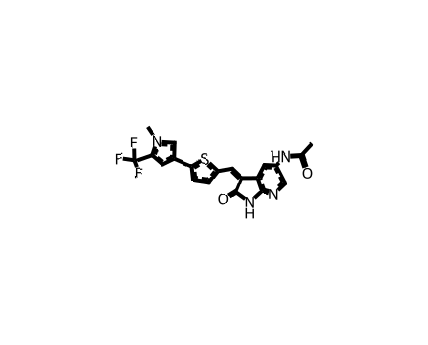 CC(=O)Nc1cnc2c(c1)C(=Cc1ccc(-c3cc(C(F)(F)F)n(C)c3)s1)C(=O)N2